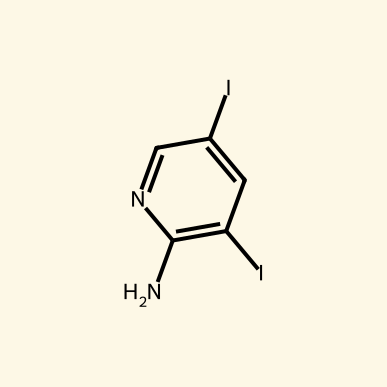 Nc1ncc(I)cc1I